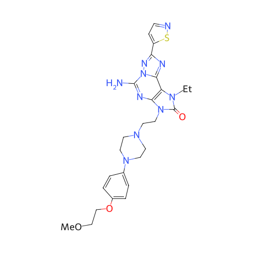 CCn1c(=O)n(CCN2CCN(c3ccc(OCCOC)cc3)CC2)c2nc(N)n3nc(-c4ccns4)nc3c21